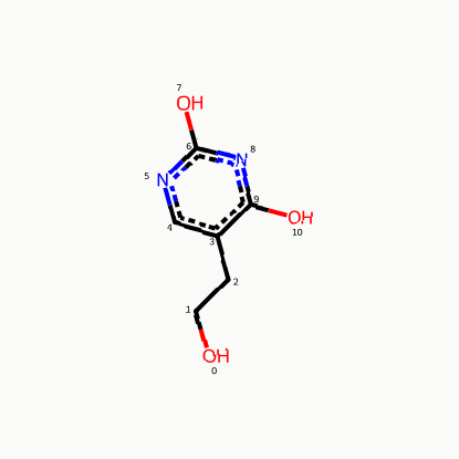 OCCc1cnc(O)nc1O